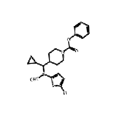 O=CN(c1ccc(Cl)s1)C(C1CC1)C1CCN(C(=O)Oc2ccccc2)CC1